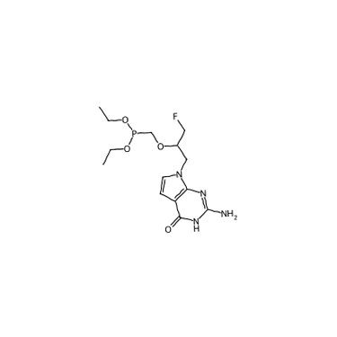 CCOP(COC(CF)Cn1ccc2c(=O)[nH]c(N)nc21)OCC